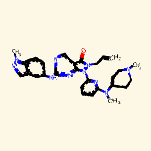 C=CCn1c(=O)c2cnc(Nc3ccc4c(cnn4C)c3)nc2n1-c1cccc(N(C)C2CCN(C)CC2)n1